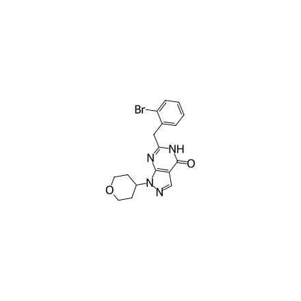 O=c1[nH]c(Cc2ccccc2Br)nc2c1cnn2C1CCOCC1